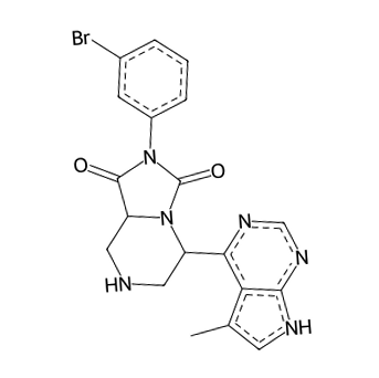 Cc1c[nH]c2ncnc(C3CNCC4C(=O)N(c5cccc(Br)c5)C(=O)N43)c12